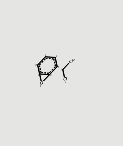 ClCCl.c1ccc2c(c1)O2